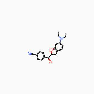 CCN(CC)c1ccc2cc(C(=O)c3ccc(C#N)cc3)oc2c1